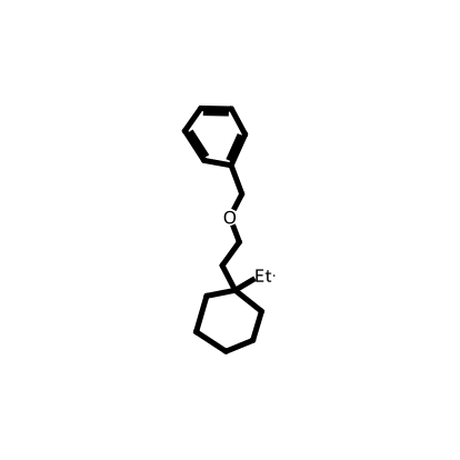 C[CH]C1(CCOCc2ccccc2)CCCCC1